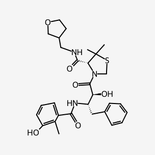 Cc1c(O)cccc1C(=O)N[C@@H](Cc1ccccc1)[C@H](O)C(=O)N1CSC(C)(C)[C@H]1C(=O)NCC1CCOC1